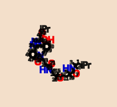 CC(C)CC(C)(C)NC(=O)C(C)(C)CCOC(C)(C)CCNC(=O)CCC(=O)N1Cc2ccccc2-c2c(nnn2C(O)COC(C)C)-c2ccccc21